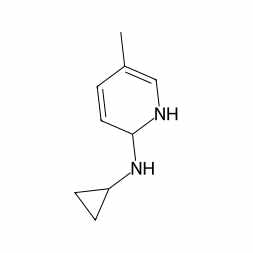 CC1=CNC(NC2CC2)C=C1